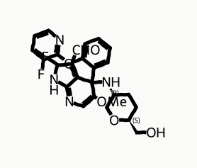 COC1=CN=C2NC(F)C(C=O)=C2C1(N[C@@H]1CC[C@@H](CO)OC1)c1ccccc1Oc1ncccc1F